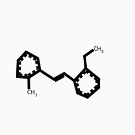 CCc1ccccc1C=Cc1ccccc1C